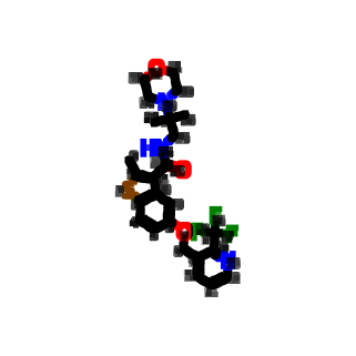 Cc1sc2ccc(OCc3cccnc3C(F)(F)F)cc2c1C(=O)NCC(C)(C)N1CCOCC1